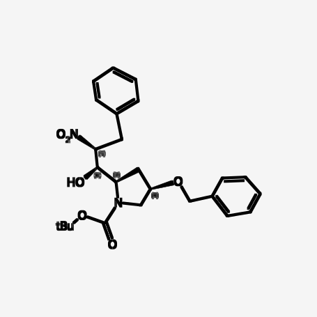 CC(C)(C)OC(=O)N1C[C@H](OCc2ccccc2)C[C@@H]1[C@@H](O)[C@H](Cc1ccccc1)[N+](=O)[O-]